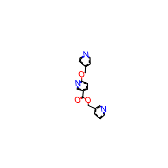 O=C(OCc1cccnc1)c1ccc(OCc2ccncc2)nc1